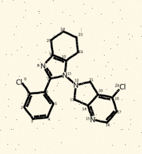 Clc1ccccc1-c1nc2c(n1N1Cc3nccc(Cl)c3C1)CCCC2